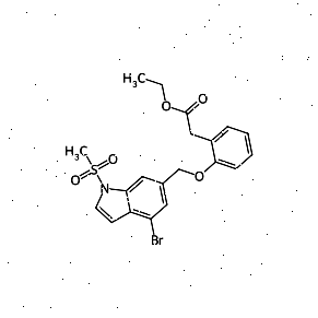 CCOC(=O)Cc1ccccc1OCc1cc(Br)c2ccn(S(C)(=O)=O)c2c1